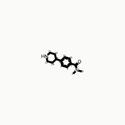 CN(C)C(=O)c1ccc(C2CCNCC2)cc1